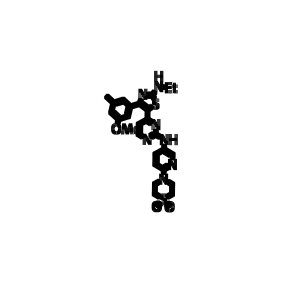 CCNc1nc(-c2cc(C)cc(OC)c2)c(-c2ccnc(Nc3ccc(N4CCS(=O)(=O)CC4)nc3)n2)s1